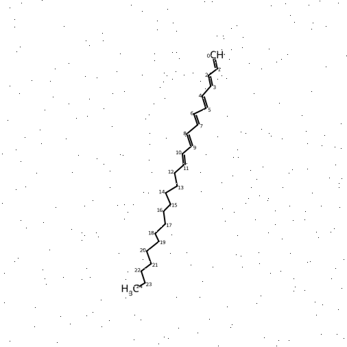 [CH]=CC=CC=CC=CC=CC=CCCCCCCCCCCCCC